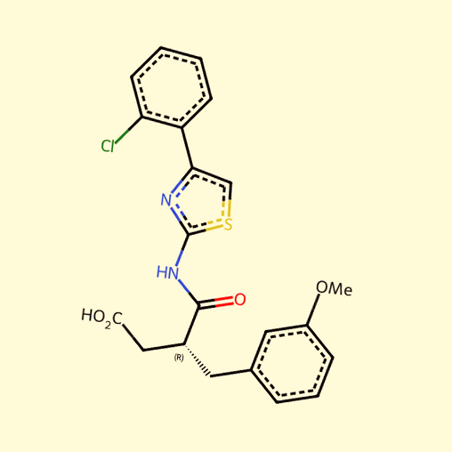 COc1cccc(C[C@H](CC(=O)O)C(=O)Nc2nc(-c3ccccc3Cl)cs2)c1